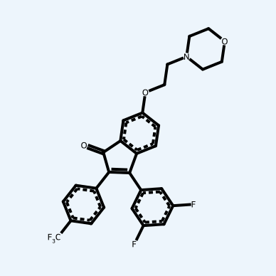 O=C1C(c2ccc(C(F)(F)F)cc2)=C(c2cc(F)cc(F)c2)c2ccc(OCCN3CCOCC3)cc21